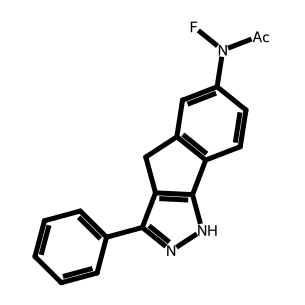 CC(=O)N(F)c1ccc2c(c1)Cc1c(-c3ccccc3)n[nH]c1-2